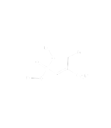 CCOC(=O)/C(=C/P(=O)(OCC)OCC)CBr